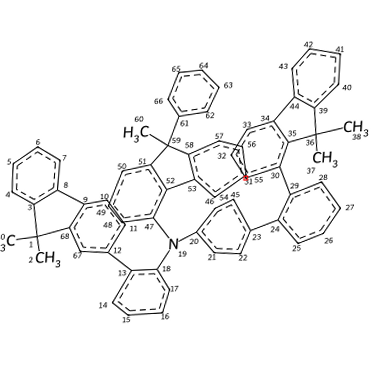 CC1(C)c2ccccc2-c2ccc(-c3ccccc3N(c3ccc(-c4ccccc4-c4cccc5c4C(C)(C)c4ccccc4-5)cc3)c3cccc4c3-c3ccccc3C4(C)c3ccccc3)cc21